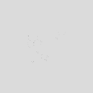 C=CC(=O)N(C)C1CCC(n2cc(Nc3cn(C)nc3OC)c3ncn(C(C)C)c3c2=O)C1